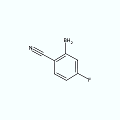 Bc1cc(F)ccc1C#N